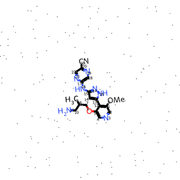 COc1cncc(OCC(C)CN)c1-c1cc(Nc2cnc(C#N)cn2)n[nH]1